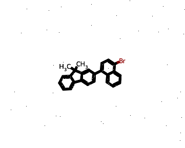 CC1(C)c2ccccc2-c2ccc(-c3ccc(Br)c4ccccc34)cc21